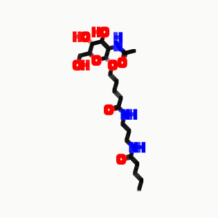 CCCCC(=O)NCCCNC(=O)CCCCO[C@@H]1OC(CO)[C@H](O)C(O)C1NC(C)=O